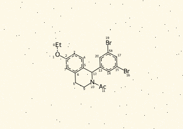 CCOc1ccc2c(c1)CCN(C(C)=O)C2c1cc(Br)cc(Br)c1